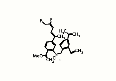 C=Cc1cc(C(=C)C)ccc1CN(C)c1cc(/C(C)=C/C=C(/F)CF)ccc1C(=C)OC